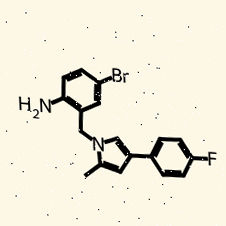 Cc1cc(-c2ccc(F)cc2)cn1Cc1cc(Br)ccc1N